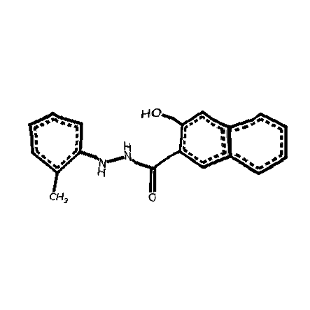 Cc1ccccc1NNC(=O)c1cc2ccccc2cc1O